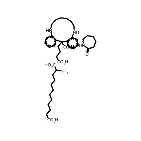 NC(CCCCCCCCCC(=O)O)C(=O)O.O=C(O)CCCC1(C(=O)O)c2ccccc2NCCCCCCNc2ccccc21.O=C1CCCCCN1